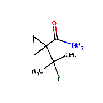 CC(C)(F)C1(C(N)=O)CC1